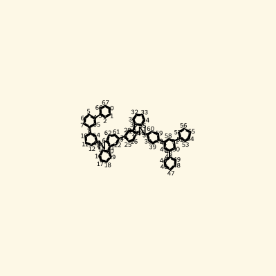 c1ccc(-c2cccc(-c3cccc(-n4c5ccccc5c5cc(-c6ccc7c(c6)c6ccccc6n7-c6ccc(-c7cc(-c8ccccc8)cc(-c8ccccc8)c7)cc6)ccc54)c3)c2)cc1